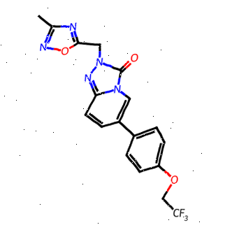 Cc1noc(Cn2nc3ccc(-c4ccc(OCC(F)(F)F)cc4)cn3c2=O)n1